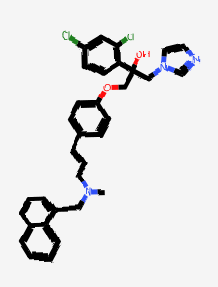 CN(C/C=C/c1ccc(OCC(O)(Cn2ccnc2)c2ccc(Cl)cc2Cl)cc1)Cc1cccc2ccccc12